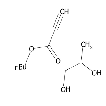 C#CC(=O)OCCCC.CC(O)CO